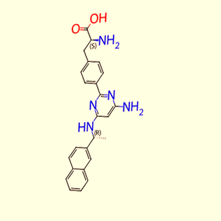 C[C@@H](Nc1cc(N)nc(-c2ccc(C[C@H](N)C(=O)O)cc2)n1)c1ccc2ccccc2c1